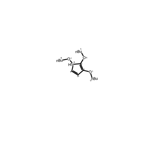 CCCCOC1=C(OCCCC)[SiH](OCCCC)C=C1